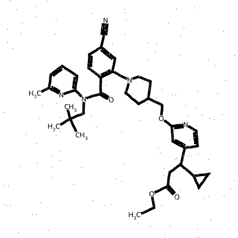 CCOC(=O)CC(c1ccnc(OCC2CCN(c3cc(C#N)ccc3C(=O)N(CC(C)(C)C)c3cccc(C)n3)CC2)c1)C1CC1